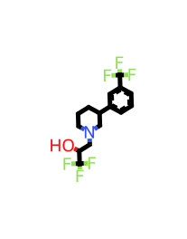 OC(CN1CCCC(c2cccc(C(F)(F)F)c2)C1)C(F)(F)F